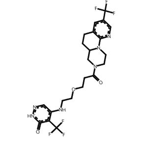 O=C(CCOCCNc1cn[nH]c(=O)c1C(F)(F)F)N1CCN2c3ncc(C(F)(F)F)cc3CCC2C1